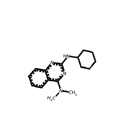 CN(C)c1nc(NC2CCCCC2)nc2ccccc12